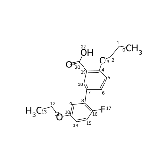 CCCOc1ccc(-c2cc(OCC)ccc2F)cc1C(=O)O